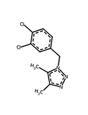 Cc1nnn(Cc2ccc(Cl)c(Cl)c2)c1C